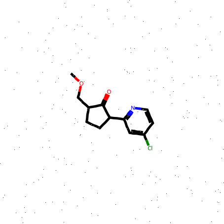 COCC1CCC(c2cc(Cl)ccn2)C1=O